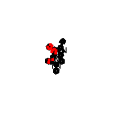 N#Cc1cc2c(oc3c(-c4nc(-c5ccccc5)nc(-c5ccccc5)n4)cccc32)c(-n2c3ccc(-c4ccccc4)cc3c3cc(-c4ccccc4)ccc32)c1-n1c2ccc(-c3ccccc3)cc2c2cc(-c3ccccc3)ccc21